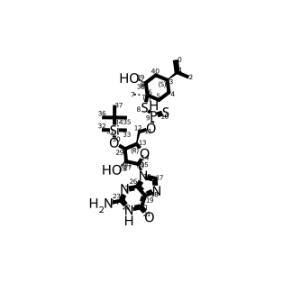 C=C(C)[C@H]1CC[C@@](C)(S[PH](=S)OC[C@H]2O[C@@H](n3cnc4c(=O)[nH]c(N)nc43)[C@H](O)C2O[Si](C)(C)C(C)(C)C)[C@H](O)C1